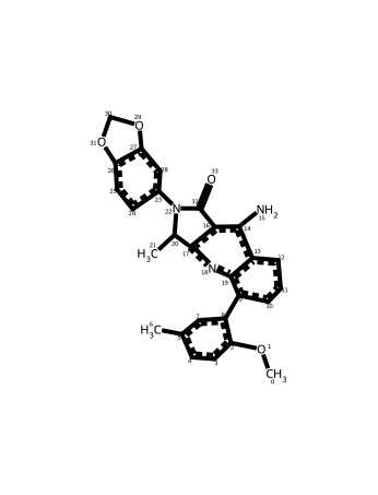 COc1ccc(C)cc1-c1cccc2c(N)c3c(nc12)C(C)N(c1ccc2c(c1)OCO2)C3=O